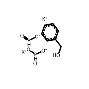 O=[PH]([O-])O[PH](=O)[O-].OCc1ccccc1.[K+].[K+]